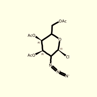 CC(=O)OCC1O[C@@H](Cl)C(N=[N+]=[N-])[C@@H](OC(C)=O)[C@H]1OC(C)=O